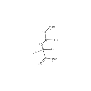 COC(=O)C(F)(F)OB(F)OC=O